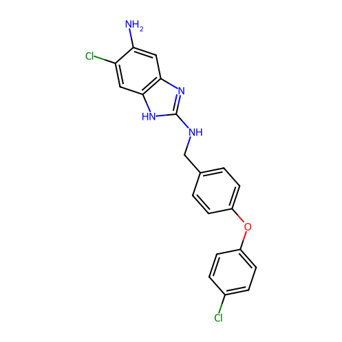 Nc1cc2nc(NCc3ccc(Oc4ccc(Cl)cc4)cc3)[nH]c2cc1Cl